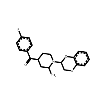 CC1CC(C(=O)c2ccc(F)cc2)CCN1C1COc2ccccc2O1